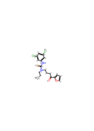 CCCN(CCCC(=O)c1ccco1)C(=S)Nc1cc(Cl)cc(Cl)c1